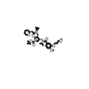 COCCCOc1cc(C(=O)N(C[C@@H]2CN(C(=O)OC(C)(C)C)C[C@H]2CN(C(=O)C[C@@H]2CCCCO2)C2CC2)C(C)C)ccc1OC